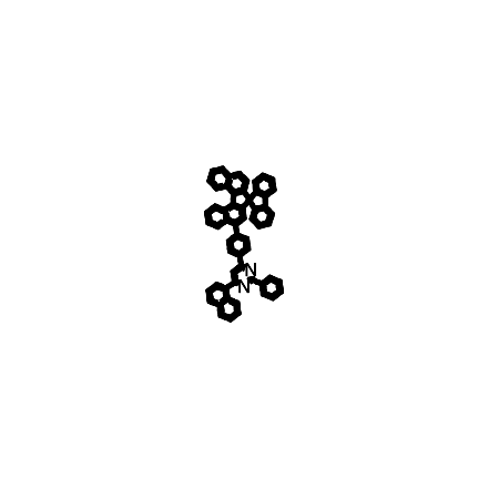 c1ccc(-c2nc(-c3ccc(-c4cc5c(c6ccccc46)-c4c(ccc6ccccc46)C54c5ccccc5-c5ccccc54)cc3)cc(-c3cccc4ccccc34)n2)cc1